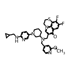 COc1cc(CN(Cc2cn3c4c(c(F)c(F)cc4c2=O)SCC3)C2CCCN(c3ccc(NCC4CC4)nc3)C2)ccn1